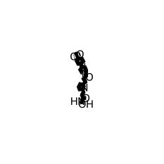 CS(=O)(=O)c1ccc(N2CCN(C(=O)C=Cc3cccc(C=CC(=O)NO)n3)CC2)cc1